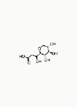 O=C(O)CC(O)[C@H]1OC[C@H](O)[C@@H](O)[C@@H]1O